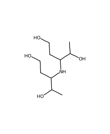 CC(O)C(CCO)NC(CCO)C(C)O